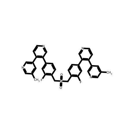 Cc1cncc(-c2ccncc2-c2ccc(CS(=O)(=O)Cc3ccc(-c4cnccc4-c4cncc(C)c4)cc3F)c(F)c2)c1